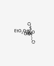 CCOC(=O)[C@H]1O[C@@H]1C(=O)N[C@@H](CSCc1ccccc1)C(=O)NCCCCc1ccccc1